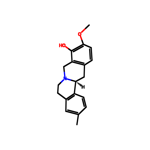 COc1ccc2c(c1O)CN1CCc3cc(C)ccc3[C@@H]1C2